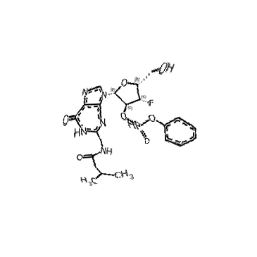 CC(C)C(=O)Nc1nc2c(ncn2[C@@H]2O[C@H](CO)[C@H](F)[C@H]2O[PH](=O)Oc2ccccc2)c(=O)[nH]1